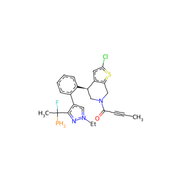 CC#CC(=O)N1Cc2sc(Cl)cc2[C@H](c2ccccc2-c2cn(CC)nc2C(C)(F)P)C1